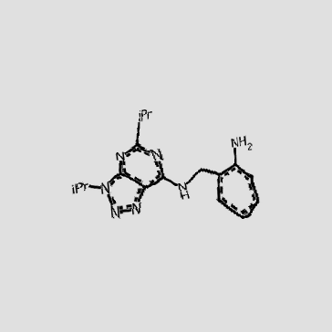 CC(C)c1nc(NCc2ccccc2N)c2nnn(C(C)C)c2n1